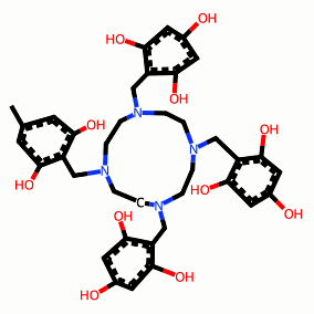 Cc1cc(O)c(CN2CCN(Cc3c(O)cc(O)cc3O)CCN(Cc3c(O)cc(O)cc3O)CCN(Cc3c(O)cc(O)cc3O)CC2)c(O)c1